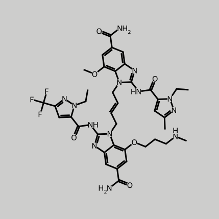 CCn1nc(C)cc1C(=O)Nc1nc2cc(C(N)=O)cc(OC)c2n1C/C=C/Cn1c(NC(=O)c2cc(C(F)(F)F)nn2CC)nc2cc(C(N)=O)cc(OCCCNC)c21